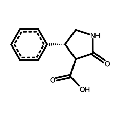 O=C(O)C1C(=O)NC[C@H]1c1ccccc1